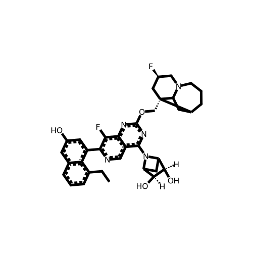 CCc1cccc2cc(O)cc(-c3ncc4c(N5C6CC5[C@H](O)[C@@H]6O)nc(OC[C@@]56C[C@@H](F)CN7CCCC5CC76)nc4c3F)c12